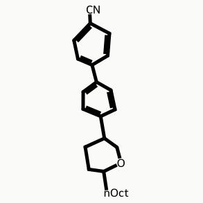 CCCCCCCCC1CCC(c2ccc(-c3ccc(C#N)cc3)cc2)CO1